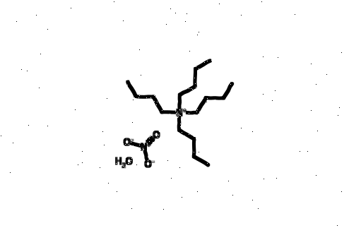 CCCC[N+](CCCC)(CCCC)CCCC.O.O=[N+]([O-])[O-]